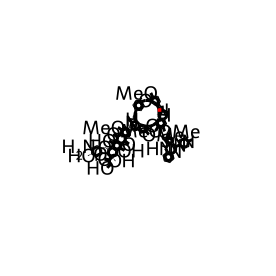 COc1ccc2cc1Oc1ccc(cc1)C[C@H]1c3cc(c(OC)cc3CCN1C)Oc1c(OC)c(OC)cc3c1[C@H](C2)N(C)CC3.COc1cccc2c1C(=O)c1c(O)c3c(c(O)c1C2=O)C[C@@](O)(C(=O)CO)C[C@@H]3O[C@H]1C[C@H](N)[C@@H](O)[C@H](C)O1.Cc1cc2c(s1)Nc1ccccc1N=C2N1CCN(C)CC1